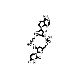 Nc1ncnc2c1ncn2[C@@H]1O[C@@H]2COP(=O)(O)O[C@@H]3C[C@@H](COP(=O)(S)O[C@H]2[C@H]1F)O[C@H]3n1ccc(=O)[nH]c1=O